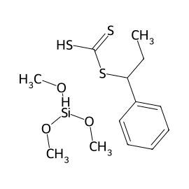 CCC(SC(=S)S)c1ccccc1.CO[SiH](OC)OC